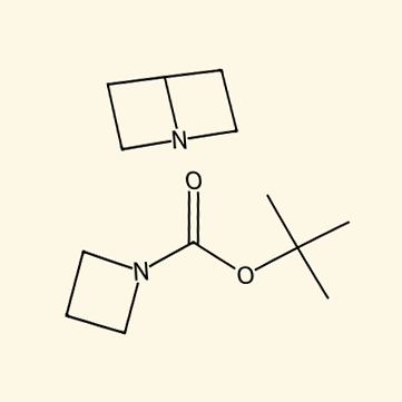 C1CN2CCC12.CC(C)(C)OC(=O)N1CCC1